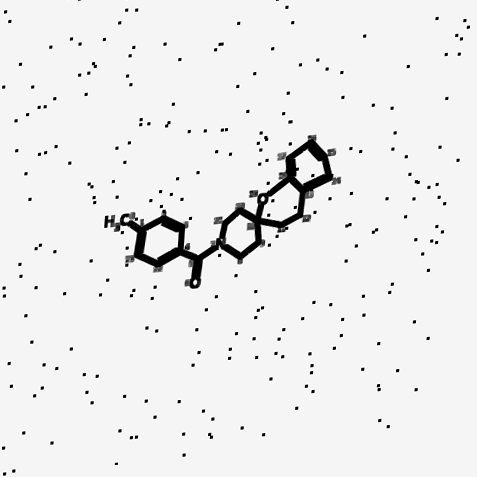 Cc1ccc(C(=O)N2CCC3(CCc4ccccc4O3)CC2)cc1